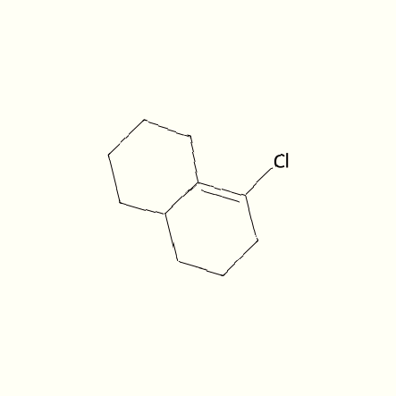 ClC1=C2CCCCC2CCC1